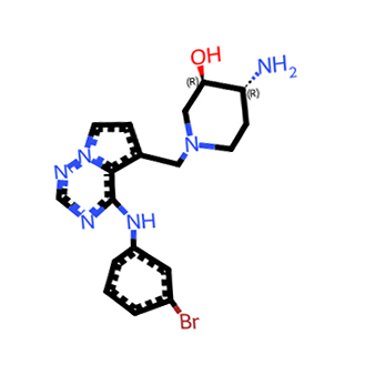 N[C@@H]1CCN(Cc2ccn3ncnc(Nc4cccc(Br)c4)c23)C[C@H]1O